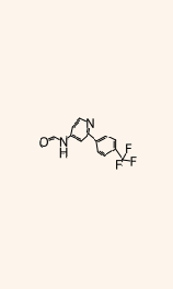 O=CNc1ccnc(-c2ccc(C(F)(F)F)cc2)c1